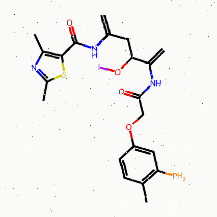 C=C(CC(OI)C(=C)NC(=O)COc1ccc(C)c(P)c1)NC(=O)c1sc(C)nc1C